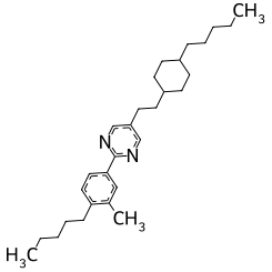 CCCCCc1ccc(-c2ncc(CCC3CCC(CCCCC)CC3)cn2)cc1C